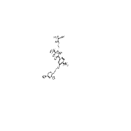 N=C(N)NCCC[C@H](NC(=O)c1ccc(N)c(OCCc2ccc(Cl)cc2Cl)c1)C(N)=O